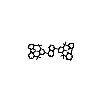 CC1(C)C2=CC(c3cccc4c(-c5cc6c7c(c5)C(C)(C)c5cccc8c9cccc(c9n-7c58)C6(C)C)cccc34)=CC3C2n2c4c1cccc4c1cccc(c12)C3(C)C